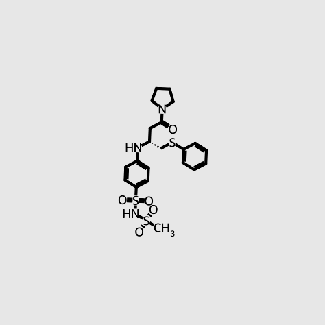 CS(=O)(=O)NS(=O)(=O)c1ccc(N[C@@H](CSc2ccccc2)CC(=O)N2CCCC2)cc1